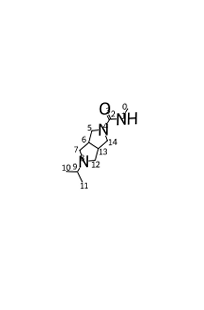 CNC(=O)N1CC2CN(C(C)C)CC2C1